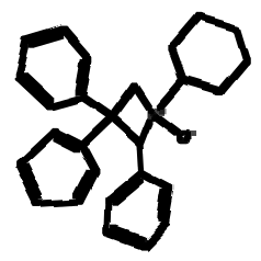 [O-][N+]1(C2CCCCC2)CC(c2ccccc2)(c2ccccc2)C1c1ccccc1